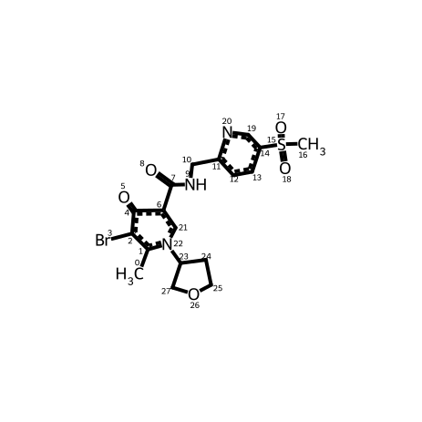 Cc1c(Br)c(=O)c(C(=O)NCc2ccc(S(C)(=O)=O)cn2)cn1C1CCOC1